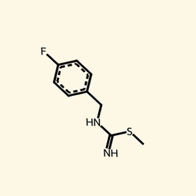 CSC(=N)NCc1ccc(F)cc1